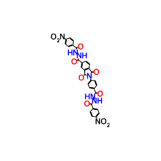 O=C(NNC(=O)c1ccc([N+](=O)[O-])cc1)c1ccc(N2C(=O)c3ccc(C(=O)NNC(=O)c4ccc([N+](=O)[O-])cc4)cc3C2=O)cc1